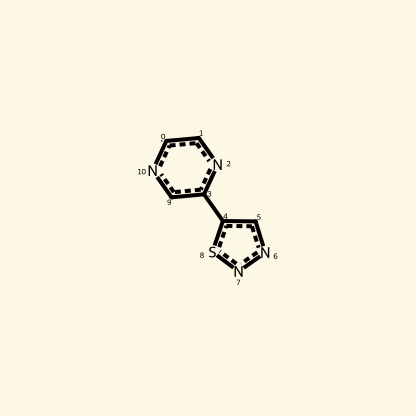 [c]1cnc(-c2cnns2)cn1